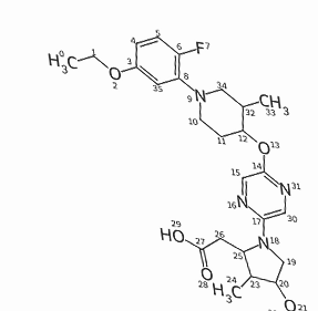 CCOc1ccc(F)c(N2CCC(Oc3cnc(N4CC(OC)C(C)C4CC(=O)O)cn3)C(C)C2)c1